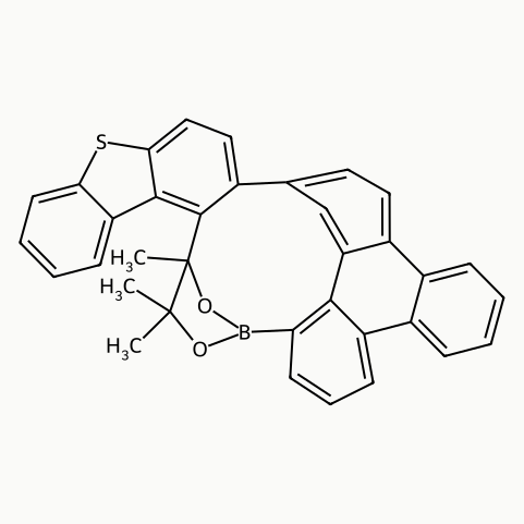 CC1(C)OB2OC1(C)c1c(ccc3sc4ccccc4c13)-c1ccc3c4ccccc4c4cccc2c4c3c1